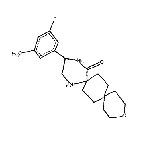 Cc1cc(F)cc(C2CNC3(CCC4(CCOCC4)CC3)C(=O)N2)c1